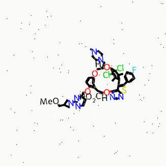 COCC1CN(c2nccc(COc3ccc4cc3C[C@H](C(=O)O)Oc3ncnc5sc(-c6ccc(F)cc6)c(c35)-c3c(C)c(Cl)c(c(Cl)c3C)O[C@H](CN3CCN(C)CC3)CO4)n2)C1